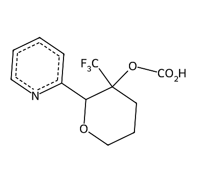 O=C(O)OC1(C(F)(F)F)CCCOC1c1ccccn1